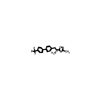 Cc1noc([C@H](N)Cc2ccc(-c3ccc(C(F)(F)F)cc3)cc2)n1